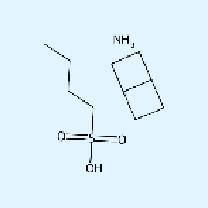 C1CC2CCC12.CCCCS(=O)(=O)O.N